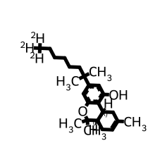 [2H]C([2H])([2H])CCCCCC(C)(C)c1cc(O)c2c(c1)OC(C)(C)[C@@H]1CC=C(C)C[C@@H]21